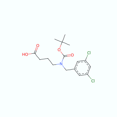 CC(C)(C)OC(=O)N(CCCC(=O)O)Cc1cc(Cl)cc(Cl)c1